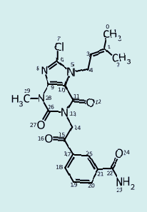 CC(C)=CCn1c(Cl)nc2c1c(=O)n(CC(=O)c1cccc(C(N)=O)c1)c(=O)n2C